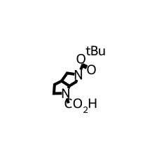 CC(C)(C)OC(=O)N1CC2CCN(C(=O)O)C2C1